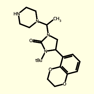 CC(N1CCNCC1)N1CC(c2cccc3c2OCCO3)N(C(C)(C)C)C1=O